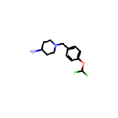 NC1CCN(Cc2ccc(OC(F)F)cc2)CC1